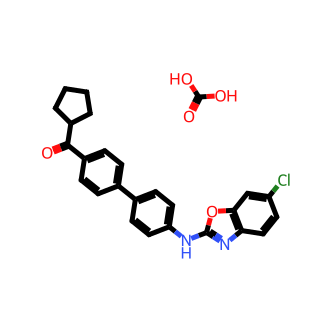 O=C(O)O.O=C(c1ccc(-c2ccc(Nc3nc4ccc(Cl)cc4o3)cc2)cc1)C1CCCC1